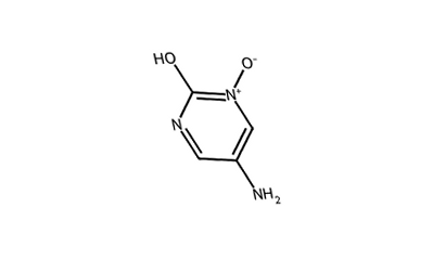 Nc1cnc(O)[n+]([O-])c1